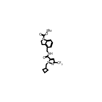 CC(C)(C)OC(=O)N1CCc2c(CNC(=O)c3cc(C(F)(F)F)nn3CC3CCC3)cccc21